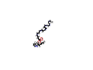 CC/C=C\C/C=C\C/C=C\C/C=C\C/C=C\C/C=C\CCC(=O)OC(C)CC(C)(C)c1ncccc1C(=O)O